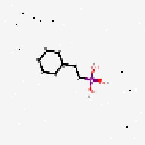 O=P(O)(O)CCC1CCCCC1